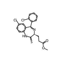 COC(=O)CC[C@@H]1N=C(c2ccccc2Cl)c2cc(Cl)ccc2NC1=S